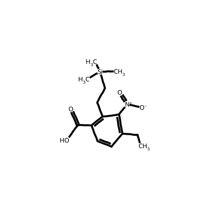 CCc1ccc(C(=O)O)c(CC[Si](C)(C)C)c1[N+](=O)[O-]